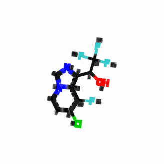 OC(c1ncn2ccc(Cl)c(F)c12)C(F)(F)F